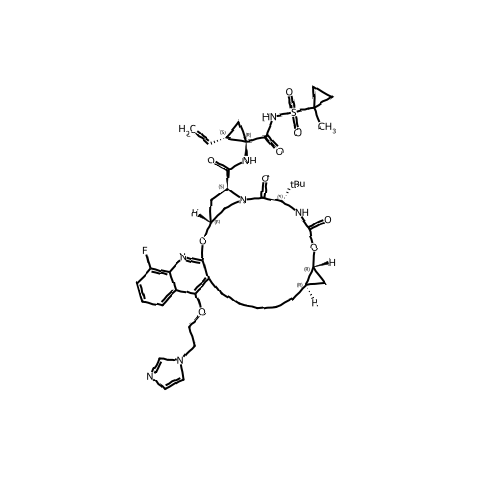 C=C[C@@H]1C[C@]1(NC(=O)[C@@H]1C[C@@H]2CN1C(=O)[C@H](C(C)(C)C)NC(=O)O[C@@H]1C[C@H]1CCCCCc1c(nc3c(F)cccc3c1OCCn1ccnc1)O2)C(=O)NS(=O)(=O)C1(C)CC1